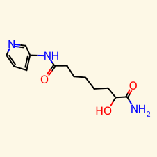 NC(=O)C(O)CCCCCC(=O)Nc1cccnc1